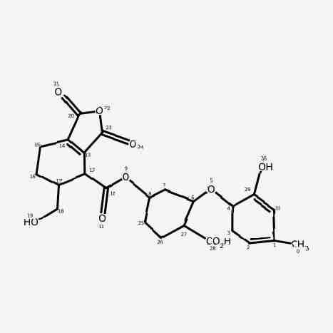 CC1=CCC(OC2CC(OC(=O)C3C4=C(CCC3CO)C(=O)OC4=O)CCC2C(=O)O)C(O)=C1